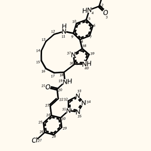 COC(=O)Nc1ccc2c(c1)NCCCCCCC(NC(=O)C=Cc1cc(Cl)ccc1-n1cnnn1)c1nc-2c[nH]1